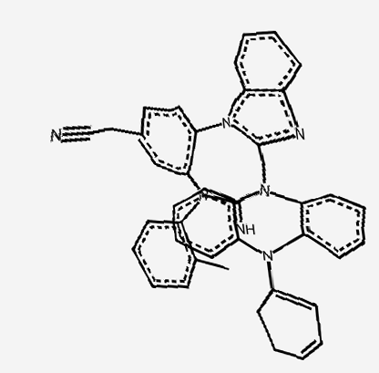 Cc1ccccc1N1C(=N)N(c2ccccc2N(C2=CC=CCC2)c2ccccc2)c2nc3ccccc3n2-c2ccc(C#N)cc21